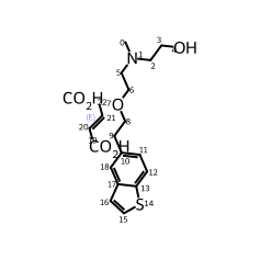 CN(CCO)CCOCCc1ccc2sccc2c1.O=C(O)/C=C/C(=O)O